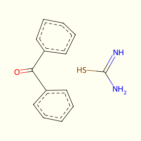 N=C(N)S.O=C(c1ccccc1)c1ccccc1